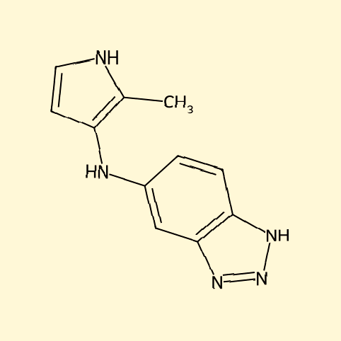 Cc1[nH]ccc1Nc1ccc2[nH]nnc2c1